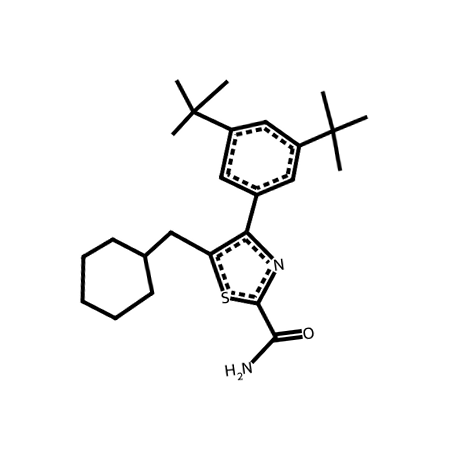 CC(C)(C)c1cc(-c2nc(C(N)=O)sc2CC2CCCCC2)cc(C(C)(C)C)c1